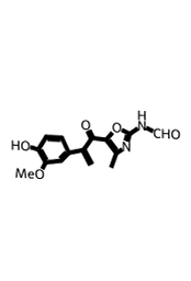 C=C(C(=O)c1oc(NC=O)nc1C)c1ccc(O)c(OC)c1